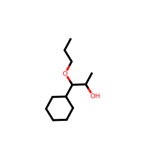 CCCOC(C(C)O)C1CCCCC1